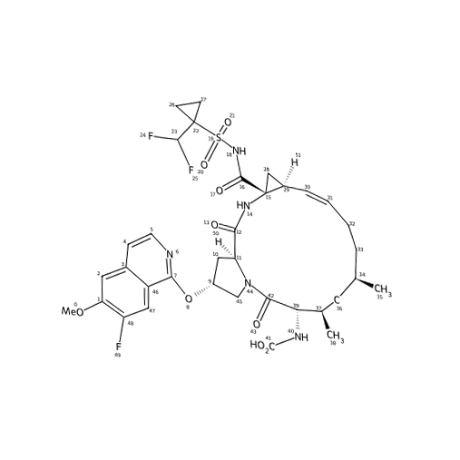 COc1cc2ccnc(O[C@@H]3C[C@H]4C(=O)N[C@]5(C(=O)NS(=O)(=O)C6(C(F)F)CC6)C[C@H]5/C=C\CC[C@@H](C)C[C@@H](C)[C@H](NC(=O)O)C(=O)N4C3)c2cc1F